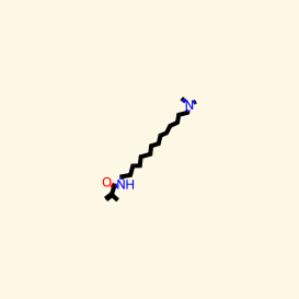 C=C(C)C(=O)NCCCCCCCCCCCCCCN(C)C